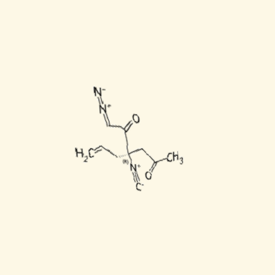 [C-]#[N+][C@](CC=C)(CC(C)=O)C(=O)C=[N+]=[N-]